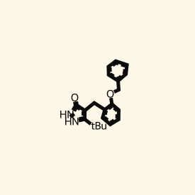 CC(C)(C)c1[nH][nH]c(=O)c1Cc1ccccc1OCc1ccccc1